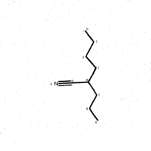 [CH2]CCCC(C#N)CCC